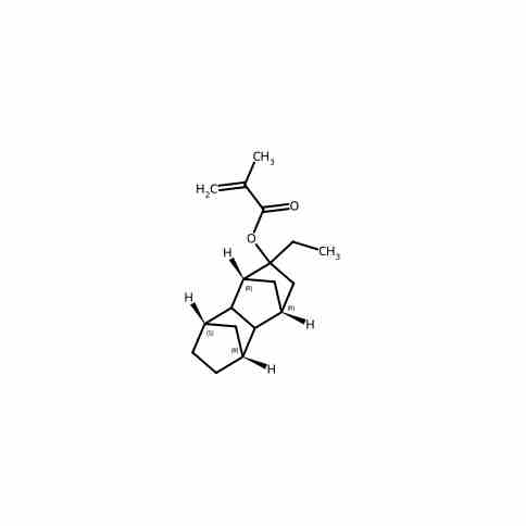 C=C(C)C(=O)OC1(CC)C[C@H]2C[C@@H]1C1C2[C@@H]2CC[C@H]1C2